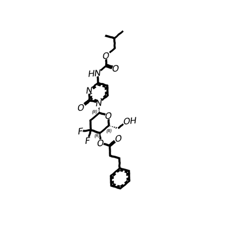 CC(C)COC(=O)Nc1ccn([C@H]2CC(F)(F)[C@H](OC(=O)CCc3ccccc3)[C@@H](CO)O2)c(=O)n1